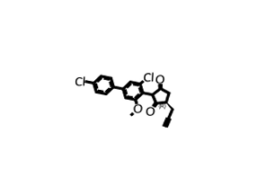 C#CC[C@@H]1CC(=O)C(c2c(Cl)cc(-c3ccc(Cl)cc3)cc2OC)C1=O